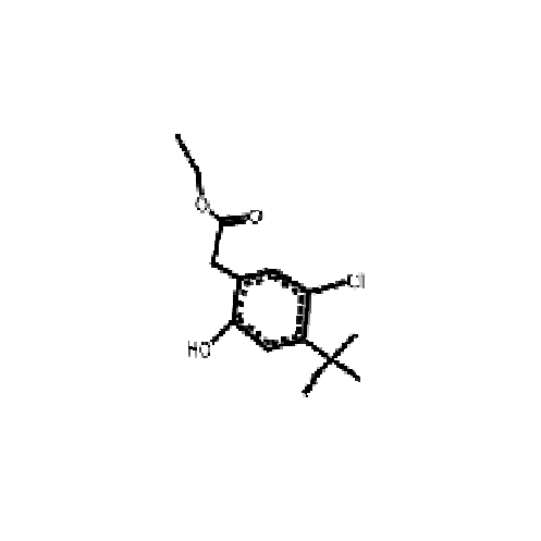 CCOC(=O)Cc1cc(Cl)c(C(C)(C)C)cc1O